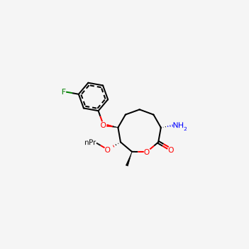 CCCO[C@H]1[C@H](C)OC(=O)[C@@H](N)CCC[C@@H]1Oc1cccc(F)c1